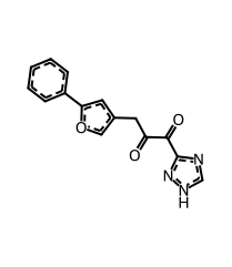 O=C(Cc1coc(-c2ccccc2)c1)C(=O)c1nc[nH]n1